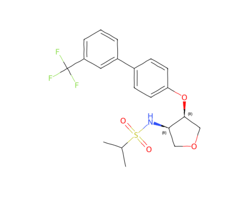 CC(C)S(=O)(=O)N[C@@H]1COC[C@@H]1Oc1ccc(-c2cccc(C(F)(F)F)c2)cc1